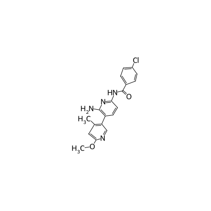 COc1cc(C)c(-c2ccc(NC(=O)c3ccc(Cl)cc3)nc2N)cn1